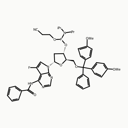 COc1ccc(C(OC[C@H]2O[C@H](n3cc(F)c4c(NC(=O)c5ccccc5)ncnc43)C[C@@H]2OP(OCCC#N)N(C(C)C)C(C)C)(c2ccccc2)c2ccc(OC)cc2)cc1